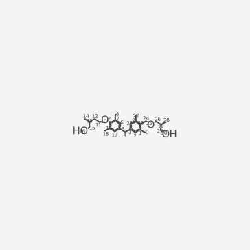 Cc1cc(Cc2cc(C)c(OCCC(C)CO)c(C)c2)cc(C)c1COCC(C)CO